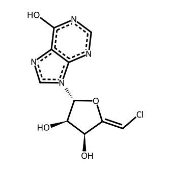 Oc1ncnc2c1ncn2[C@@H]1O/C(=C\Cl)[C@@H](O)[C@H]1O